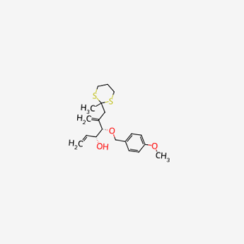 C=C[C@@H](O)[C@@H](OCc1ccc(OC)cc1)C(=C)CC1(C)SCCCS1